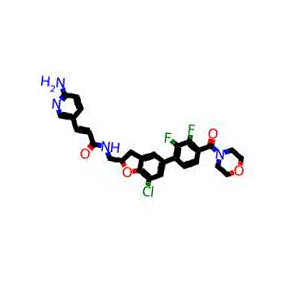 Nc1ccc(/C=C/C(=O)NCC2Cc3cc(-c4ccc(C(=O)N5CCOCC5)c(F)c4F)cc(Cl)c3O2)cn1